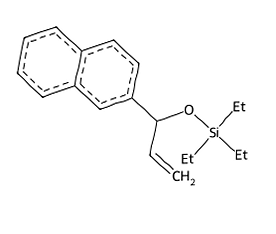 C=CC(O[Si](CC)(CC)CC)c1ccc2ccccc2c1